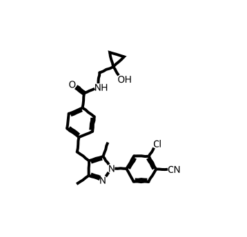 Cc1nn(-c2ccc(C#N)c(Cl)c2)c(C)c1Cc1ccc(C(=O)NCC2(O)CC2)cc1